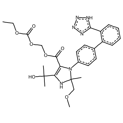 CCOC(=O)OCOC(=O)C1=C(C(C)(C)O)NC(C)(COC)N1c1ccc(-c2ccccc2-c2nnn[nH]2)cc1